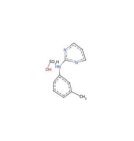 Cc1cccc(Nc2ncccn2)c1.O=S(=O)(O)O